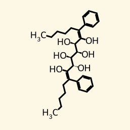 CCCCCC(=C(O)[C@@H](O)[C@@H](O)[C@H](O)[C@@H](O)C(O)=C(CCCCC)c1ccccc1)c1ccccc1